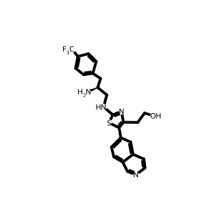 N[C@H](CNc1nc(CCO)c(-c2ccc3cnccc3c2)s1)Cc1ccc(C(F)(F)F)cc1